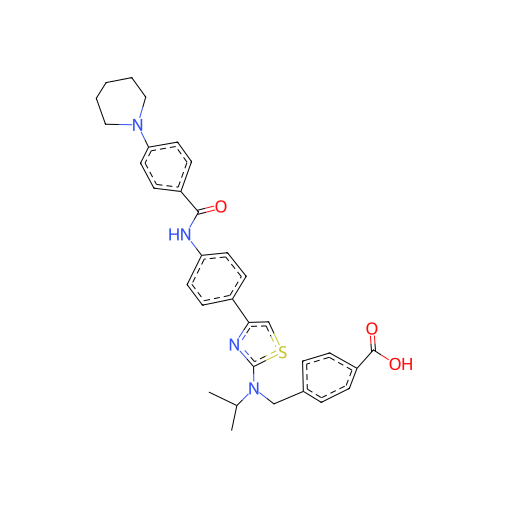 CC(C)N(Cc1ccc(C(=O)O)cc1)c1nc(-c2ccc(NC(=O)c3ccc(N4CCCCC4)cc3)cc2)cs1